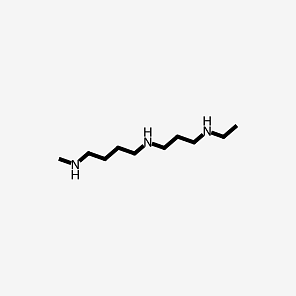 CCNCCCNCCCCNC